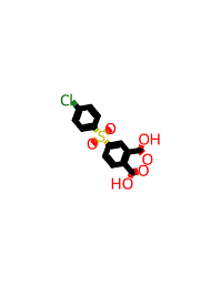 O=C(O)c1ccc(S(=O)(=O)c2ccc(Cl)cc2)cc1C(=O)O